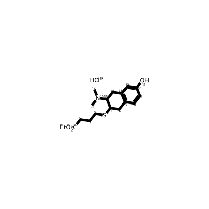 CCOC(=O)CCCSC1Cc2ccc(O)cc2CC1N(C)C.Cl